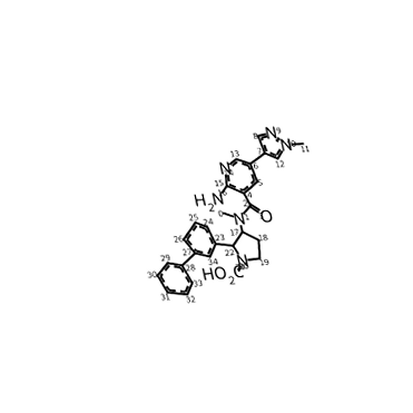 CN(C(=O)c1cc(-c2cnn(C)c2)cnc1N)C1CCN(C(=O)O)C1c1cccc(-c2ccccc2)c1